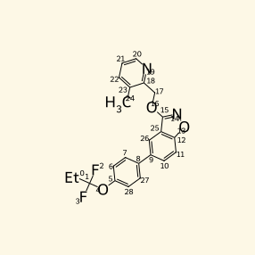 CCC(F)(F)Oc1ccc(-c2ccc3onc(OCc4ncccc4C)c3c2)cc1